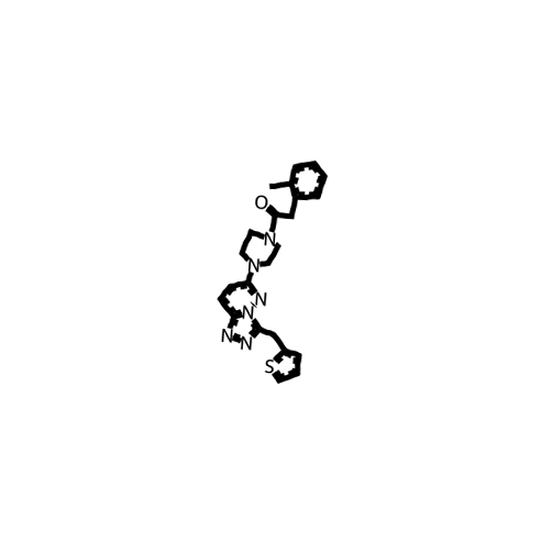 Cc1ccccc1CC(=O)N1CCN(c2ccc3nnc(Cc4cccs4)n3n2)CC1